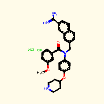 COc1cccc(C(=O)N(Cc2ccc3ccc(C(=N)N)cc3c2)c2ccc(OC3CCNCC3)cc2)c1.Cl.Cl